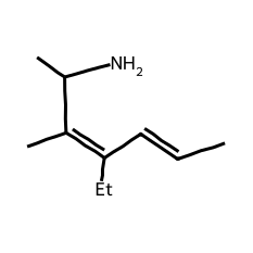 C/C=C/C(CC)=C(/C)C(C)N